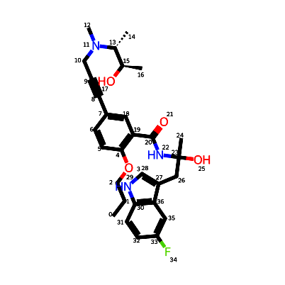 CCCOc1ccc(C#CCN(C)[C@H](C)[C@@H](C)O)cc1C(=O)NC(C)(O)Cc1c[nH]c2ccc(F)cc12